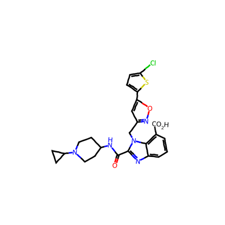 O=C(O)c1cccc2nc(C(=O)NC3CCN(C4CC4)CC3)n(Cc3cc(-c4ccc(Cl)s4)on3)c12